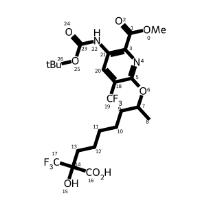 COC(=O)c1nc(OC(C)CCCCCC(O)(C(=O)O)C(F)(F)F)c(C(F)(F)F)cc1NC(=O)OC(C)(C)C